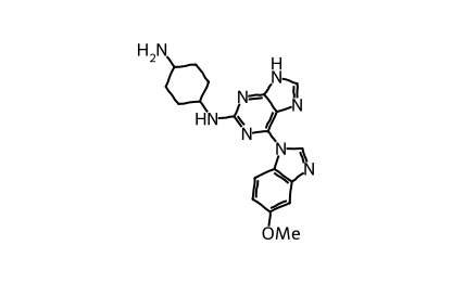 COc1ccc2c(c1)ncn2-c1nc(NC2CCC(N)CC2)nc2[nH]cnc12